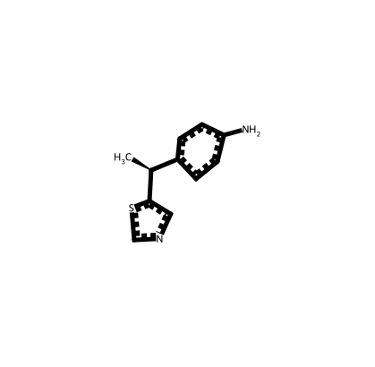 C[C@@H](c1ccc(N)cc1)c1cncs1